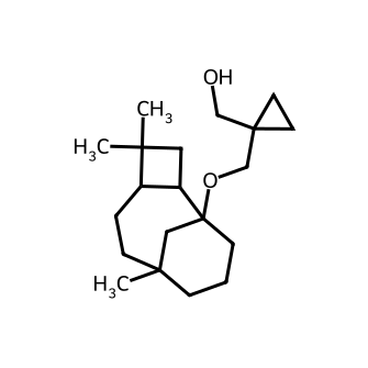 CC12CCCC(OCC3(CO)CC3)(C1)C1CC(C)(C)C1CC2